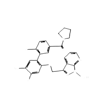 N#Cc1cc(-c2cc(C(=O)N3CCCC3)ccc2F)c(OCc2nn(C(=O)O)c3ncccc23)cc1Cl